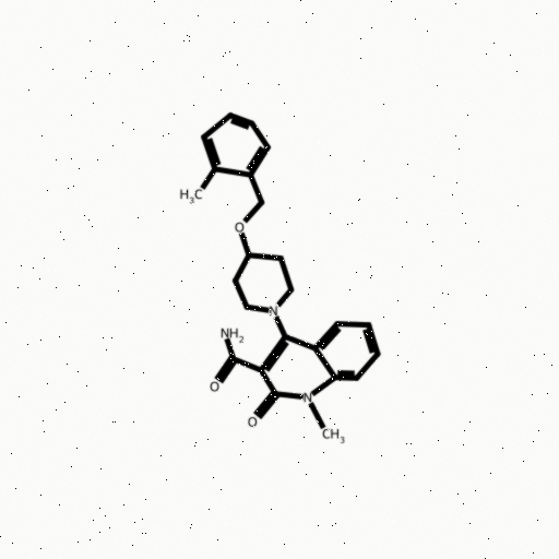 Cc1ccccc1COC1CCN(c2c(C(N)=O)c(=O)n(C)c3ccccc23)CC1